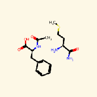 CC(=O)N[C@@H](Cc1ccccc1)C(=O)O.CSCC[C@H](N)C(N)=O